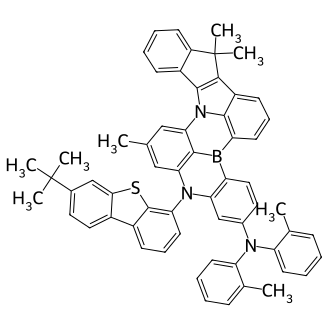 Cc1cc2c3c(c1)-n1c4c(c5cccc(c51)B3c1ccc(N(c3ccccc3C)c3ccccc3C)cc1N2c1cccc2c1sc1cc(C(C)(C)C)ccc12)C(C)(C)c1ccccc1-4